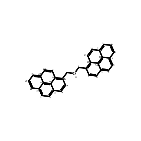 c1cc2ccc3ccc(COCc4ccc5ccc6cccc7ccc4c5c67)c4ccc(c1)c2c34